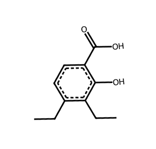 CCc1ccc(C(=O)O)c(O)c1CC